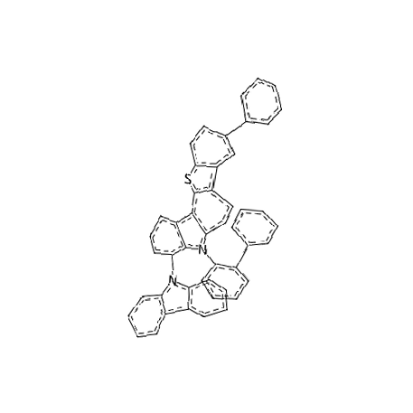 c1ccc(-c2ccc3sc4c(ccc5c4c4cccc(-n6c7ccccc7c7ccccc76)c4n5-c4ccccc4-c4ccccc4)c3c2)cc1